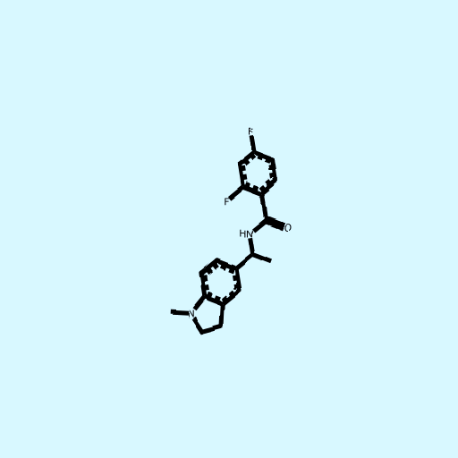 CC(NC(=O)c1ccc(F)cc1F)c1ccc2c(c1)CCN2C